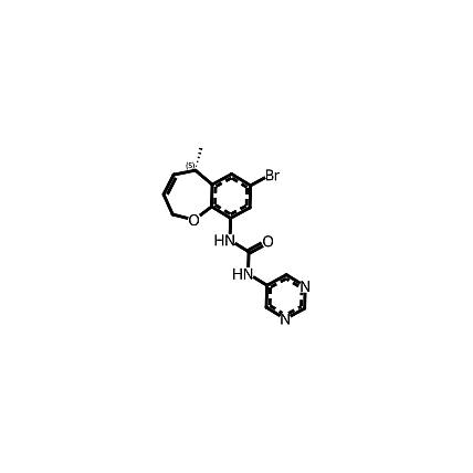 C[C@H]1C=CCOc2c(NC(=O)Nc3cncnc3)cc(Br)cc21